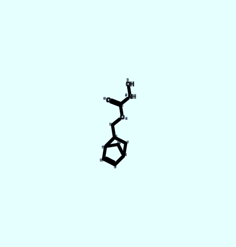 O=C(NO)OCC1CC2C=CC1C2